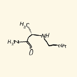 CCCCN[C@@H](C)C(N)=O